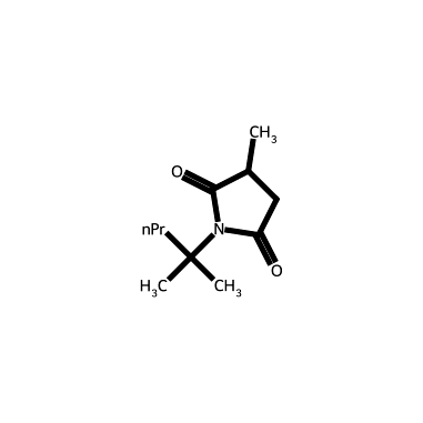 CCCC(C)(C)N1C(=O)CC(C)C1=O